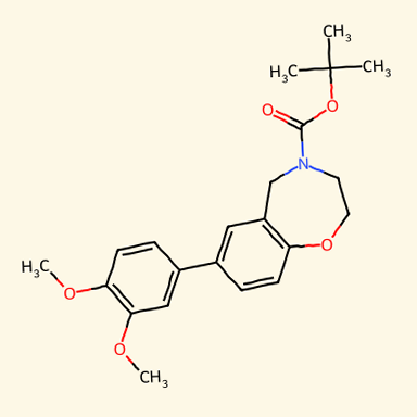 COc1ccc(-c2ccc3c(c2)CN(C(=O)OC(C)(C)C)CCO3)cc1OC